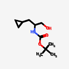 CC(C)(C)OC(=O)NC(CO)CC1CC1